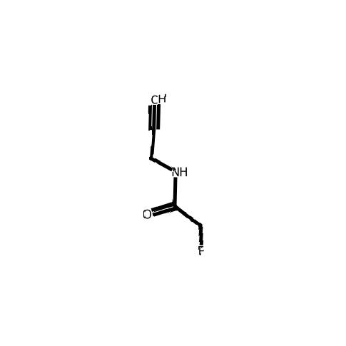 C#CCNC(=O)CF